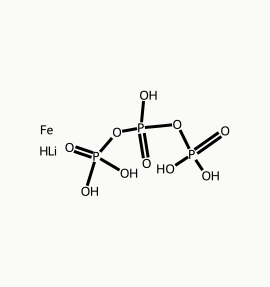 O=P(O)(O)OP(=O)(O)OP(=O)(O)O.[Fe].[LiH]